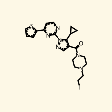 O=C(c1cnn(-c2nccc(-c3cccs3)n2)c1C1CC1)N1CCN(CCI)CC1